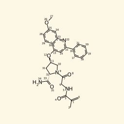 C=C(C)C(=O)NCC(=O)N1C[C@H](Oc2cc(-c3ccccc3)nc3cc(OC)ccc23)C[C@H]1C(N)=O